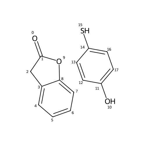 O=C1Cc2ccccc2O1.Oc1ccc(S)cc1